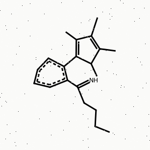 CCCCC(=N)c1ccccc1C1=C(C)C(C)=C(C)C1C